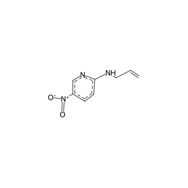 C=CCNc1ccc([N+](=O)[O-])cn1